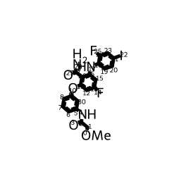 COCC(=O)Nc1cccc(Oc2cc(F)cc(Nc3ccc(I)cc3F)c2C(N)=O)c1